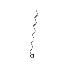 CC=CC=CCCCCCCCl